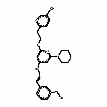 OCc1cccc(C=NNc2cc(N3CCOCC3)nc(OCCc3ccc(O)cn3)n2)c1